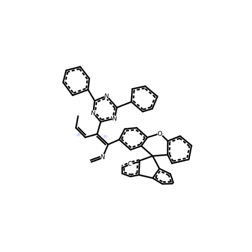 C=N/C(=C(\C=C/C)c1nc(-c2ccccc2)nc(-c2ccccc2)n1)c1ccc2c(c1)C1(c3ccccc3O2)c2ccccc2-c2ccccc21